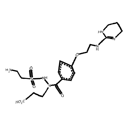 NCCS(=O)(=O)NN(CCC(=O)O)C(=O)c1ccc(OCCNC2=NCCCN2)cc1